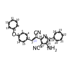 N#C/C(=C\c1ccc(Oc2ccccc2)cc1)c1nn(-c2ccccc2)c(N)c1C#N